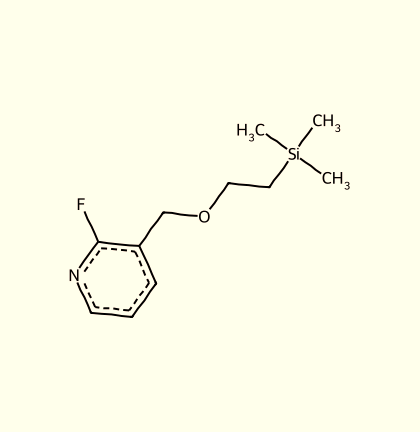 C[Si](C)(C)CCOCc1cccnc1F